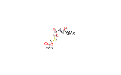 CCCC(=O)OCSCOC(=O)/C=C/C(=O)OC